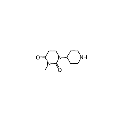 CN1C(=O)CCN(C2CCNCC2)C1=O